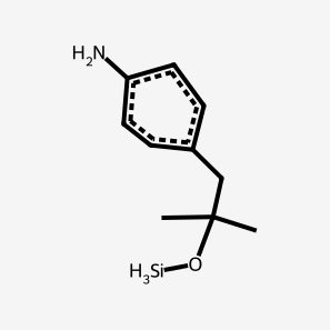 CC(C)(Cc1ccc(N)cc1)O[SiH3]